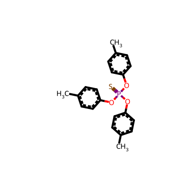 Cc1ccc(OP(=S)(Oc2ccc(C)cc2)Oc2ccc(C)cc2)cc1